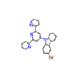 Brc1ccc2c(c1)c1ccccc1n2-c1cc(-c2ccccn2)nc(-c2ccccn2)c1